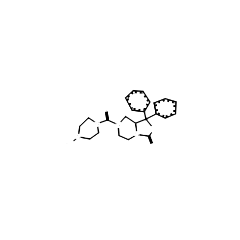 CCCN1CCN(C(=O)N2CCN3C(=O)OC(c4ccccc4)(c4ccccc4)C3C2)CC1